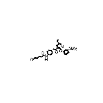 CSc1cccc(Oc2ncc(F)cc2C(=O)C[C@H]2CC[C@@H](NC(=O)CCCCCl)CC2)c1